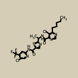 CCCCCc1ncnc(C(=O)NC(C)c2ncc(C(=O)Nc3cc(C(F)(F)F)c(Cl)cn3)s2)c1Cl